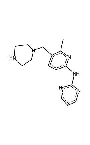 Cc1nc(Nc2ncccn2)ccc1CN1CCNCC1